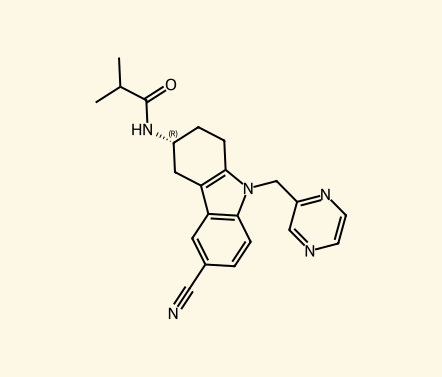 CC(C)C(=O)N[C@@H]1CCc2c(c3cc(C#N)ccc3n2Cc2cnccn2)C1